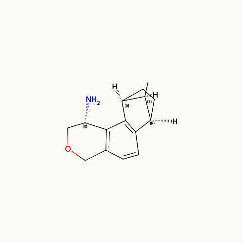 C[C@@H]1[C@@H]2CC[C@H]1c1ccc3c(c12)[C@@H](N)COC3